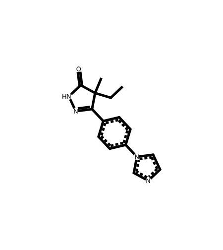 CCC1(C)C(=O)NN=C1c1ccc(-n2ccnc2)cc1